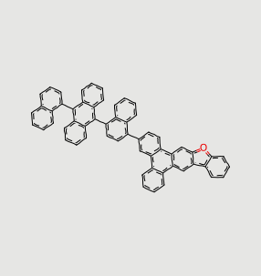 c1ccc2c(-c3c4ccccc4c(-c4ccc(-c5ccc6c(c5)c5ccccc5c5cc7c(cc65)oc5ccccc57)c5ccccc45)c4ccccc34)cccc2c1